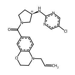 C=CCN1CCOc2cc(C(=O)N3CC[C@@H](Nc4ncc(Cl)cn4)C3)ccc21